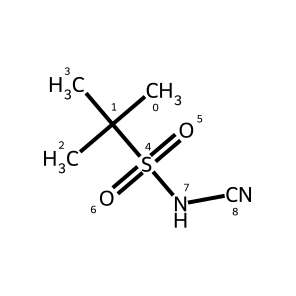 CC(C)(C)S(=O)(=O)NC#N